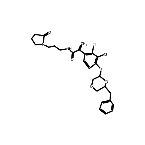 C=C(C(=O)NCCCN1CCCC1=O)c1ccc(SC2COCC(Cc3ccccc3)O2)c(Cl)c1Cl